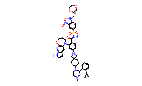 CN1CCN(C2CCC3(CC2)CN(c2ccc(C(=O)NS(=O)(=O)c4ccc(NC[C@H]5COCCO5)c([N+](=O)[O-])c4)c(N4CCCOc5nc6[nH]ccc6cc54)c2)C3)C(c2ccccc2C2CC2)C1